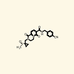 C[S@@+]([O-])C1(CN2CCn3c(ccc(C(=O)NCc4ccc(C#N)cc4)c3=O)C2=O)CC1